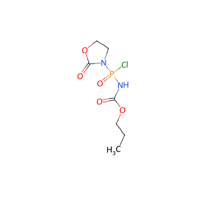 CCCOC(=O)NP(=O)(Cl)N1CCOC1=O